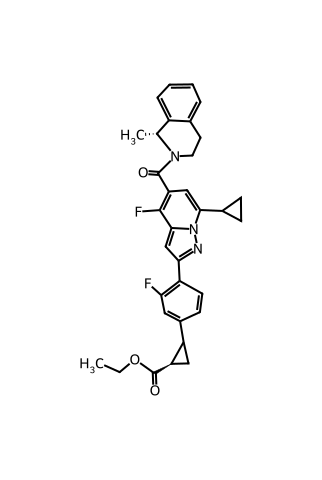 CCOC(=O)[C@@H]1CC1c1ccc(-c2cc3c(F)c(C(=O)N4CCc5ccccc5[C@H]4C)cc(C4CC4)n3n2)c(F)c1